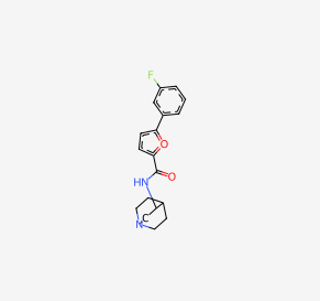 O=C(NC1CN2CCC1CC2)c1ccc(-c2cccc(F)c2)o1